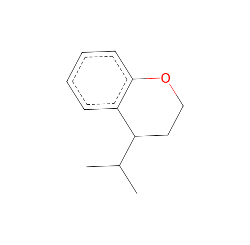 CC(C)C1CCOc2ccccc21